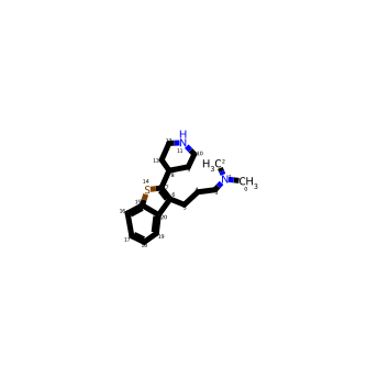 CN(C)CCCc1c(C2CCNCC2)sc2ccccc12